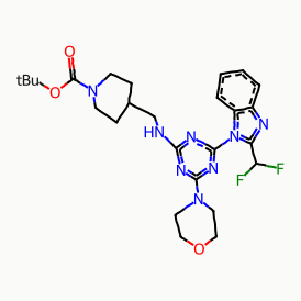 CC(C)(C)OC(=O)N1CCC(CNc2nc(N3CCOCC3)nc(-n3c(C(F)F)nc4ccccc43)n2)CC1